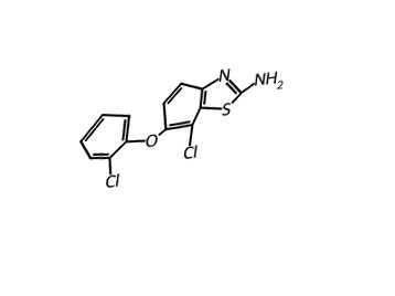 Nc1nc2ccc(Oc3ccccc3Cl)c(Cl)c2s1